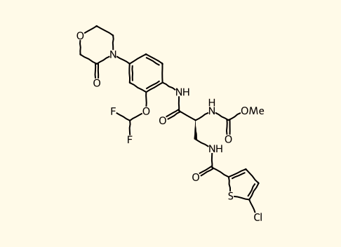 COC(=O)N[C@@H](CNC(=O)c1ccc(Cl)s1)C(=O)Nc1ccc(N2CCOCC2=O)cc1OC(F)F